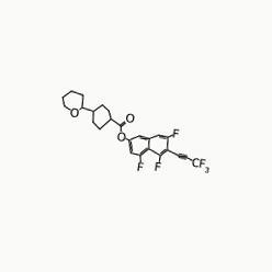 O=C(Oc1cc(F)c2c(F)c(C#CC(F)(F)F)c(F)cc2c1)C1CCC(C2CCCCO2)CC1